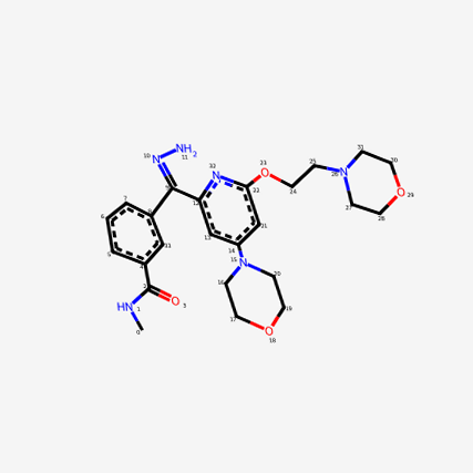 CNC(=O)c1cccc(C(=NN)c2cc(N3CCOCC3)cc(OCCN3CCOCC3)n2)c1